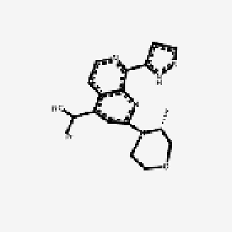 CC(C)C(C#N)c1cc(N2CCOC[C@H]2C)nc2c(-c3ccn[nH]3)nccc12